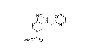 COC(=O)c1ccc([N+](=O)[O-])c(NCN2N=CC=CO2)c1